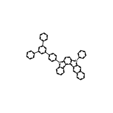 c1ccc(-c2cc(-c3ccccc3)cc(-c3ccc(-n4c5ccccc5c5c6c7cc8ccccc8cc7n(-c7ccccc7)c6ccc54)cc3)c2)cc1